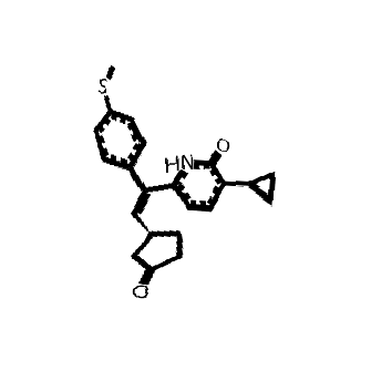 CSc1ccc(C(=C[C@H]2CCC(=O)C2)c2ccc(C3CC3)c(=O)[nH]2)cc1